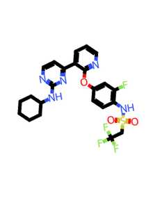 O=S(=O)(CC(F)(F)F)Nc1ccc(Oc2ncccc2-c2ccnc(NC3CCCCC3)n2)cc1F